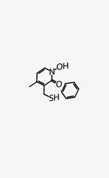 Cc1ccn(O)c(=O)c1CS.c1ccccc1